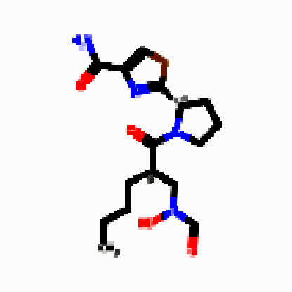 CCCC[C@H](CN(O)C=O)C(=O)N1CCC[C@H]1c1nc(C(N)=O)cs1